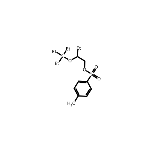 CCC(COS(=O)(=O)c1ccc(C)cc1)O[Si](CC)(CC)CC